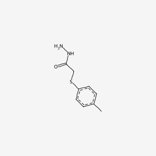 Cc1ccc(SCC(=O)NN)cc1